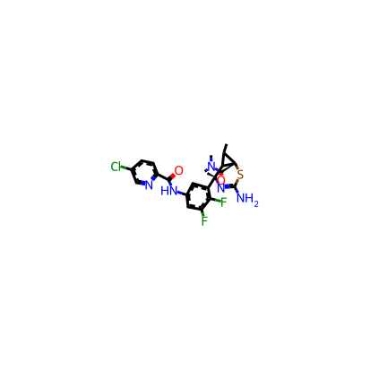 CC1C2[C@@]1(C(=O)N(C)C)SC(N)=N[C@]2(C)c1cc(NC(=O)c2ccc(Cl)cn2)cc(F)c1F